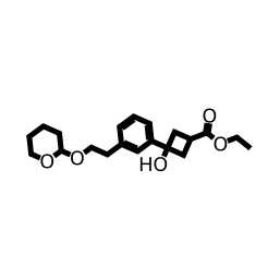 CCOC(=O)C1CC(O)(c2cccc(CCOC3CCCCO3)c2)C1